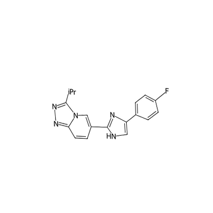 CC(C)c1nnc2ccc(-c3nc(-c4ccc(F)cc4)c[nH]3)cn12